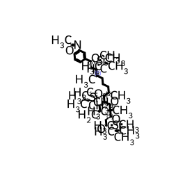 C=CC[C@@H](C(=O)C(C)(C)[C@H](CC=O)O[Si](C)(C)C(C)(C)C)[C@@H](O[Si](C)(C)C(C)(C)C)[C@@H](C)CCC/C(C)=C/C[C@H](O[Si](C)(C)C(C)(C)C)c1ccc2oc(C)nc2c1